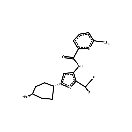 CC(C)(C)[C@H]1CC[C@H](n2cc(NC(=O)c3cccc(C(F)(F)F)n3)c(C(F)F)n2)CC1